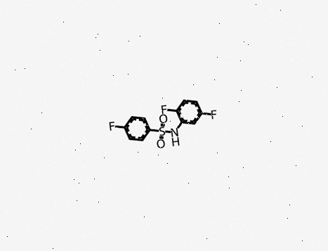 O=S(=O)(Nc1cc(F)ccc1F)c1ccc(F)cc1